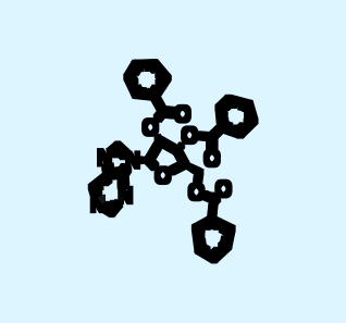 O=C(OC[C@H]1O[C@@H](n2cnc3cncnc32)[C@H](OC(=O)c2ccccc2)[C@@H]1OC(=O)c1ccccc1)c1ccccc1